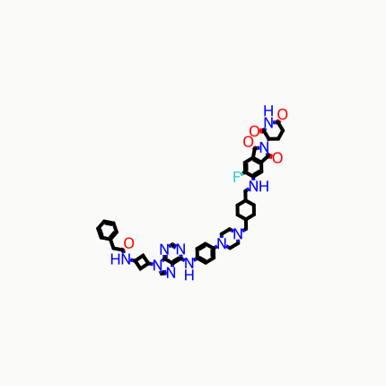 O=C1CC[C@H](N2C(=O)c3cc(F)c(NCC4CCC(CN5CCN(c6ccc(Nc7ncnc8c7ncn8C7CC(NC(=O)Cc8ccccc8)C7)cc6)CC5)CC4)cc3C2=O)C(=O)N1